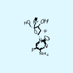 C#[N+][C@]1(CO)O[C@@H](n2cc(F)c(N)nc2=O)[C@@H](F)[C@@H]1O